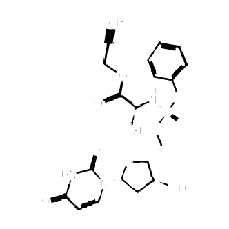 C#CCOC(=O)[C@H](C)N[P@](=O)(OC[C@H]1O[C@@H](n2ccc(=O)[nH]c2=O)C[C@@H]1O)Oc1ccccc1